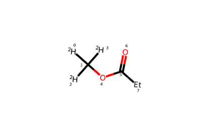 [2H]C([2H])([2H])OC(=O)CC